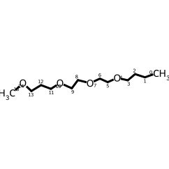 CCCCOCCOCCOCCCOC